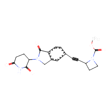 CC(C)(C)OC(=O)N1CCC1C#Cc1ccc2c(c1)CN(C1CCC(=O)NC1=O)C2=O